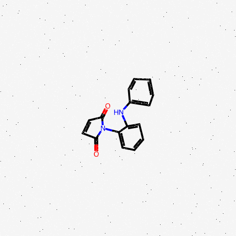 O=C1C=CC(=O)N1c1ccccc1Nc1ccccc1